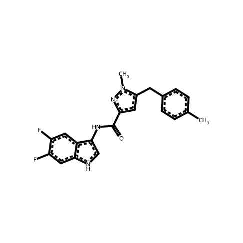 Cc1ccc(Cc2cc(C(=O)Nc3c[nH]c4cc(F)c(F)cc34)nn2C)cc1